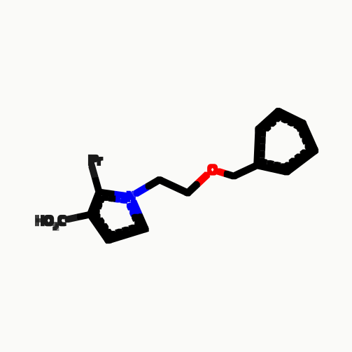 CC(C)c1c(C(=O)O)ccn1CCOCc1ccccc1